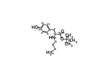 CCCCN[C@@H](Cc1ccc(O)cc1)C(=O)OC(C)(C)C